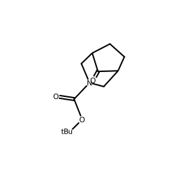 CC(C)(C)OC(=O)N1CC2CCC(C1)C2=O